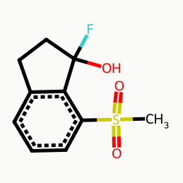 CS(=O)(=O)c1cccc2c1C(O)(F)CC2